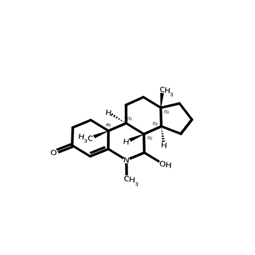 CN1C2=CC(=O)CC[C@]2(C)[C@H]2CC[C@]3(C)CCC[C@H]3[C@@H]2C1O